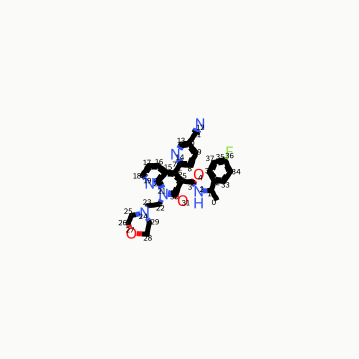 CC(NC(=O)c1c(-c2ccc(C#N)cn2)c2cccnc2n(CCN2CCOCC2)c1=O)c1ccc(F)cc1